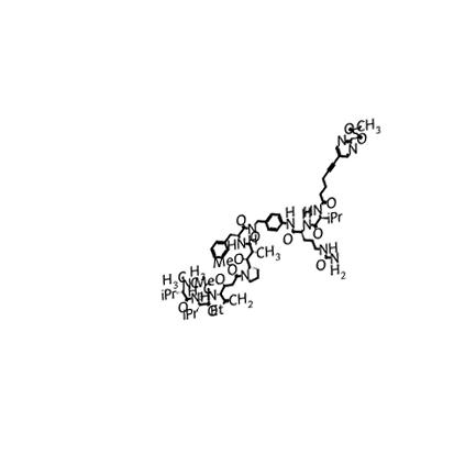 C=C(CC)[C@@H]([C@@H](CC(=O)N1CCC[C@H]1[C@H](OC)[C@@H](C)C(=O)N[C@@H](Cc1ccccc1)C(=O)NCc1ccc(NC(=O)[C@H](CCCNC(N)=O)NC(=O)[C@@H](NC(=O)CCCC#Cc2cnc(S(C)(=O)=O)nc2)C(C)C)cc1)OC)N(C)C(=O)[C@@H](NC(=O)[C@H](C(C)C)N(C)C)C(C)C